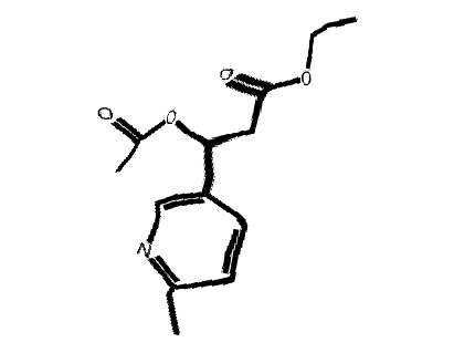 CCOC(=O)CC(OC(C)=O)c1ccc(C)nc1